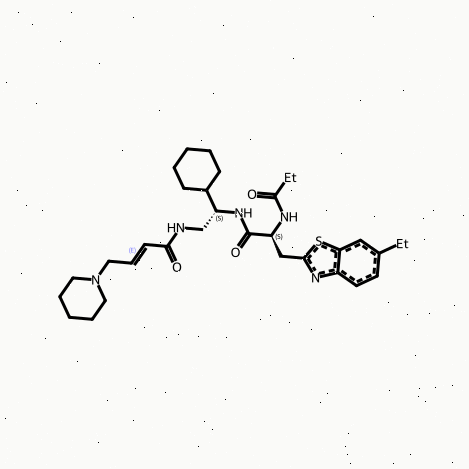 CCC(=O)N[C@@H](Cc1nc2ccc(CC)cc2s1)C(=O)N[C@H](CNC(=O)/C=C/CN1CCCCC1)C1CCCCC1